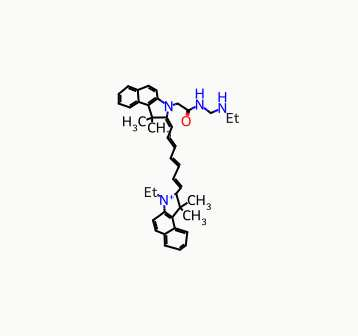 CCNCNC(=O)CN1/C(=C/C=C/C=C/C=C/C2=[N+](CC)c3ccc4ccccc4c3C2(C)C)C(C)(C)c2c1ccc1ccccc21